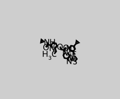 CCc1nc(C(=O)NC2CC2)ccc1OCC(=O)N1CCc2nc3n(c2[C@@H]1c1ncc(C2CC2)cc1F)CCS3